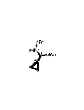 CCCCC(NCCC)C1CC1